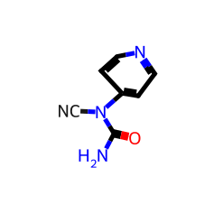 N#CN(C(N)=O)c1ccncc1